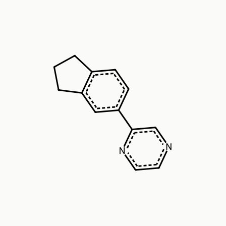 c1cnc(-c2ccc3c(c2)CCC3)cn1